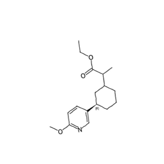 CCOC(=O)C(C)C1CCC[C@@H](c2ccc(OC)nc2)C1